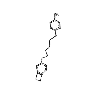 CC(C)c1ccc(CCCCCCc2ccc3c(c2)CC3)cc1